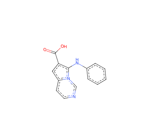 O=C(O)c1cc2ccncn2c1Nc1ccccc1